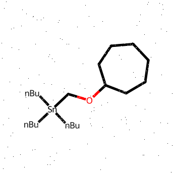 CCC[CH2][Sn]([CH2]CCC)([CH2]CCC)[CH2]OC1CCCCCC1